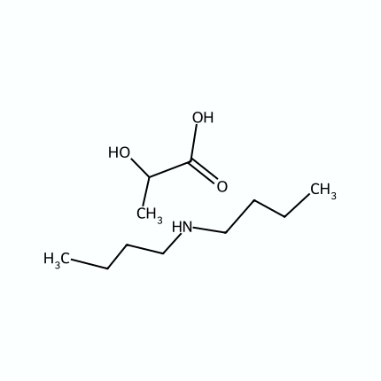 CC(O)C(=O)O.CCCCNCCCC